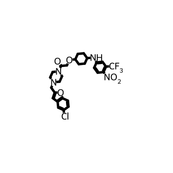 O=C(COC1CCC(Nc2ccc([N+](=O)[O-])c(C(F)(F)F)c2)CC1)N1CCN(Cc2cc3cc(Cl)ccc3o2)CC1